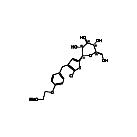 COCCOc1ccc(Cc2cc([C@@H]3O[C@H](CO)[C@@H](O)[C@H](O)[C@H]3O)sc2Cl)cc1